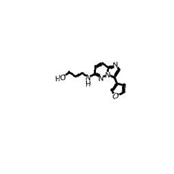 OCCCNc1ccc2ncc(-c3ccoc3)n2n1